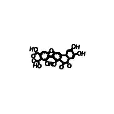 O=C(O)c1cc2oc3cc4c(c(O)c3c2c(O)c1C(=O)O)C(=O)C(=O)C1C=C(O)C(O)=CC41